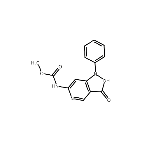 COC(=O)Nc1cc2c(cn1)c(=O)[nH]n2-c1ccccc1